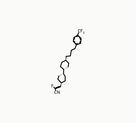 N#CC(F)=C[C@H]1CC[C@H]([C@H]2CC[C@H](CCCCc3ccc(C(F)(F)F)cc3)CC2)CC1